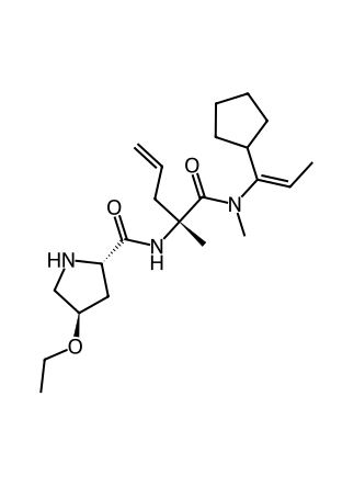 C=CC[C@@](C)(NC(=O)[C@@H]1C[C@@H](OCC)CN1)C(=O)N(C)/C(=C/C)C1CCCC1